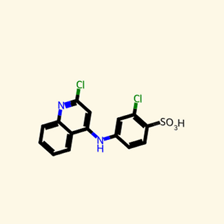 O=S(=O)(O)c1ccc(Nc2cc(Cl)nc3ccccc23)cc1Cl